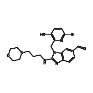 O=Cc1ccc2nc(NCCCN3CCOCC3)n(Cc3nc(Br)ccc3O)c2c1